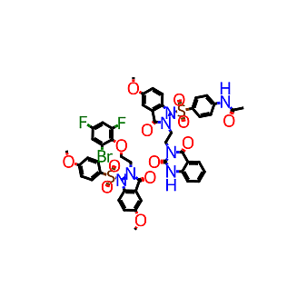 COc1ccc(S(=O)(=O)n2c3ccc(OC)cc3c(=O)n2CCOc2c(F)cc(F)cc2Br)cc1.COc1ccc2c(c1)c(=O)n(CCn1c(=O)[nH]c3ccccc3c1=O)n2S(=O)(=O)c1ccc(NC(C)=O)cc1